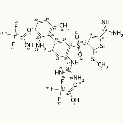 CSc1sc(C(=N)N)cc1S(=O)(=O)c1cc(-c2c(C)cccc2N)ccc1NC(=N)N.O=C(O)C(F)(F)F.O=C(O)C(F)(F)F